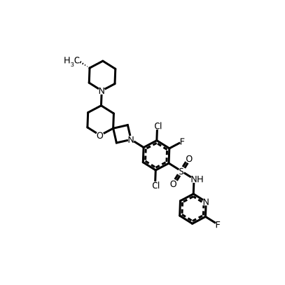 C[C@@H]1CCCN(C2CCOC3(C2)CN(c2cc(Cl)c(S(=O)(=O)Nc4cccc(F)n4)c(F)c2Cl)C3)C1